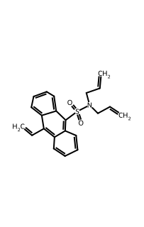 C=CCN(CC=C)S(=O)(=O)c1c2ccccc2c(C=C)c2ccccc12